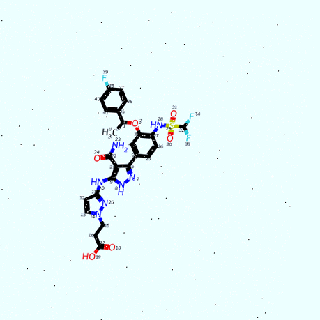 CC(Oc1cc(-c2n[nH]c(Nc3ccn(CCC(=O)O)n3)c2C(N)=O)ccc1NS(=O)(=O)C(F)F)c1ccc(F)cc1